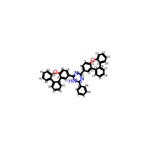 c1ccc(C2N=C(c3ccc4c(c3)-c3ccccc3-c3ccccc3O4)N=C(c3ccc4c(c3)-c3ccccc3-c3ccccc3O4)N2)cc1